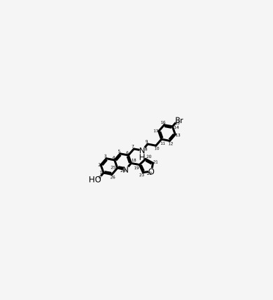 Oc1ccc2cc(CNCCc3ccc(Br)cc3)c(-c3ccoc3)nc2c1